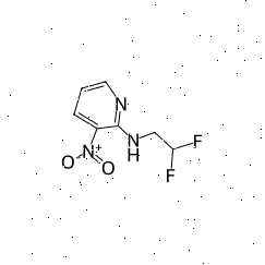 O=[N+]([O-])c1cccnc1NCC(F)F